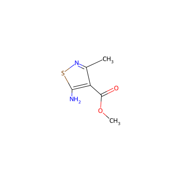 COC(=O)c1c(C)nsc1N